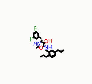 CCCc1ccc(CCC)c(CNC[C@H](O)[C@H](Cc2cc(F)cc(F)c2)NC(C)=O)c1